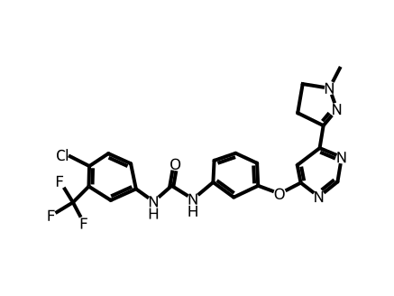 CN1CCC(c2cc(Oc3cccc(NC(=O)Nc4ccc(Cl)c(C(F)(F)F)c4)c3)ncn2)=N1